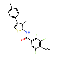 COc1c(F)cc(C(=O)Nc2scc(-c3ccc(C)cc3)c2C(=O)O)c(F)c1F